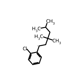 CC(C)CC(C)(C)C[CH]c1ccccc1Cl